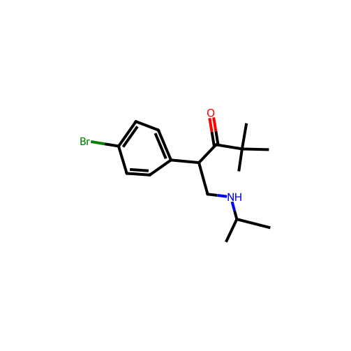 CC(C)NCC(C(=O)C(C)(C)C)c1ccc(Br)cc1